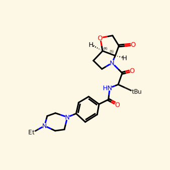 CCN1CCN(c2ccc(C(=O)NC(C(=O)N3CC[C@H]4OCC(=O)[C@H]43)C(C)(C)C)cc2)CC1